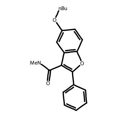 CCCCOc1ccc2oc(-c3ccccc3)c(C(=O)NC)c2c1